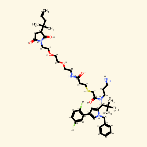 C=CCC(C)(C)C1CC(=O)N(CCOCCOCCNC(=O)CCSCC(=O)N(CCCN)[C@@H](c2cc(-c3cc(F)ccc3F)cn2Cc2ccccc2)C(C)(C)C)C1=O